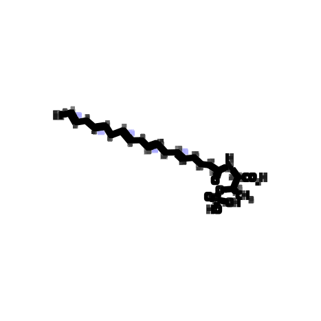 CC/C=C/C/C=C/C/C=C/C/C=C/C/C=C/CCCC(=O)N[C@H](C(=O)O)C(C)OP(=O)(O)O